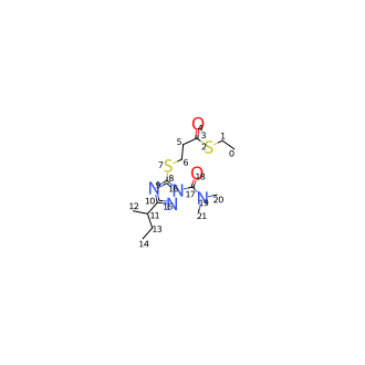 CCSC(=O)CCSc1nc(C(C)CC)nn1C(=O)N(C)C